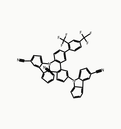 N#Cc1ccc2c(c1)c1ccccc1n2-c1ccc(C#N)c(-c2cc(-c3ccc(C(F)(F)F)cc3C(F)(F)F)ccc2-n2c3ccccc3c3cc(C#N)ccc32)c1